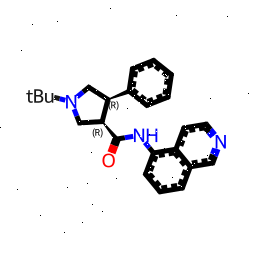 CC(C)(C)N1C[C@H](C(=O)Nc2cccc3cnccc23)[C@H](c2ccccc2)C1